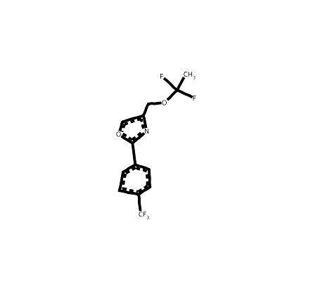 CC(F)(F)OCc1coc(-c2ccc(C(F)(F)F)cc2)n1